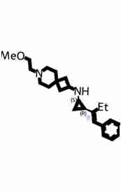 CC/C(=C\c1ccccc1)[C@H]1C[C@@H]1NC1CC2(CCN(CCOC)CC2)C1